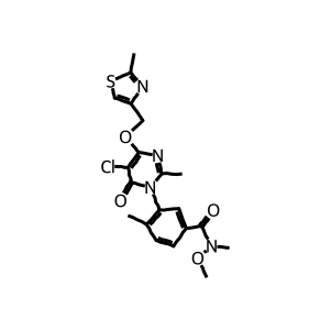 CON(C)C(=O)c1ccc(C)c(-n2c(C)nc(OCc3csc(C)n3)c(Cl)c2=O)c1